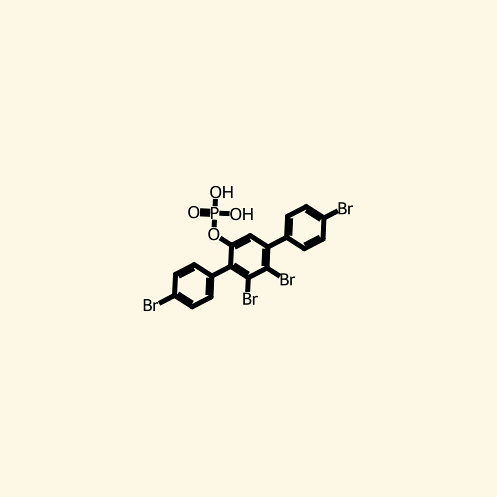 O=P(O)(O)Oc1cc(-c2ccc(Br)cc2)c(Br)c(Br)c1-c1ccc(Br)cc1